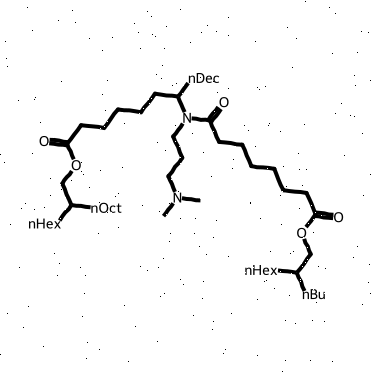 CCCCCCCCCCC(CCCCCC(=O)OCC(CCCCCC)CCCCCCCC)N(CCCN(C)C)C(=O)CCCCCCC(=O)OCC(CCCC)CCCCCC